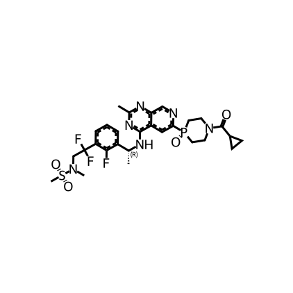 Cc1nc(N[C@H](C)c2cccc(C(F)(F)CN(C)S(C)(=O)=O)c2F)c2cc(P3(=O)CCN(C(=O)C4CC4)CC3)ncc2n1